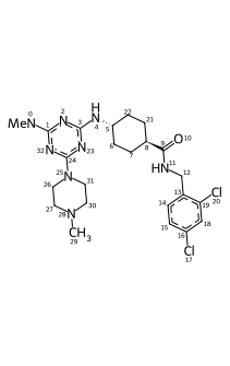 CNc1nc(N[C@H]2CC[C@H](C(=O)NCc3ccc(Cl)cc3Cl)CC2)nc(N2CCN(C)CC2)n1